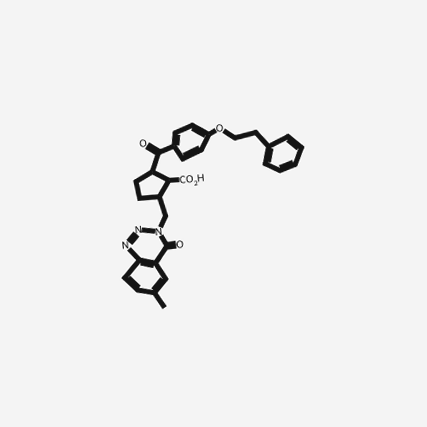 Cc1ccc2nnn(CC3CCC(C(=O)c4ccc(OCCc5ccccc5)cc4)C3C(=O)O)c(=O)c2c1